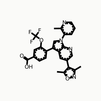 Cc1ncccc1-n1cc(-c2ccc(C(=O)O)cc2OC(F)(F)F)c2cc(-c3c(C)noc3C)cnc21